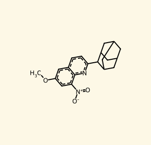 COc1cc([N+](=O)[O-])c2nc(C3C4CC5CC(C4)CC3C5)ccc2c1